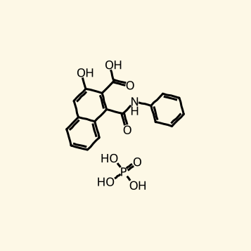 O=C(O)c1c(O)cc2ccccc2c1C(=O)Nc1ccccc1.O=P(O)(O)O